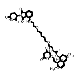 C[C@H]1C=C2C=C[C@H](C)C(CC[C@@H]3C[C@@H](O)CC(=O)O3)[C@H]2[C@@H](OC(=O)NCCOCCCCCOCCNc2cccc3c2C(=O)N(C2CCC(=O)NC2=O)C3=O)C1